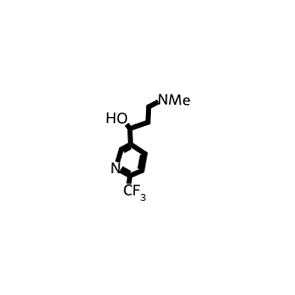 CNCCC(O)c1ccc(C(F)(F)F)nc1